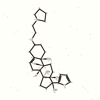 C[C@]12CCC(OCCN3CCCC3)CC1=CC[C@@H]1[C@H]2CC[C@]2(C)C(O)(c3ccco3)CC[C@@]12O